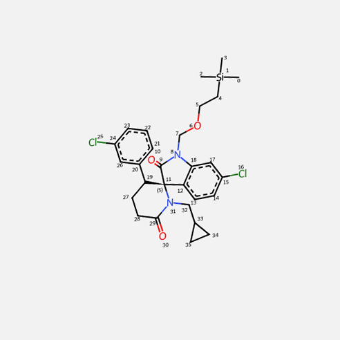 C[Si](C)(C)CCOCN1C(=O)[C@@]2(c3ccc(Cl)cc31)C(c1cccc(Cl)c1)CCC(=O)N2CC1CC1